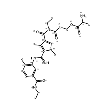 CCNC(=O)c1ccc(C)c(NC(=N)c2c(C)c(C(=O)N(CC)C(=O)OCOC(=O)C(C)N)cn2C)c1